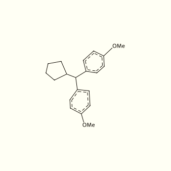 COc1ccc(C(c2ccc(OC)cc2)C2CCCC2)cc1